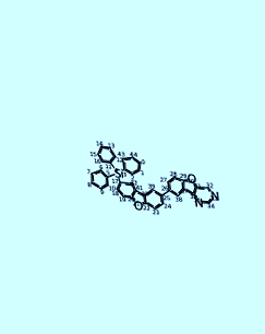 c1ccc([Si](c2ccccc2)(c2ccccc2)c2ccc3oc4ccc(-c5ccc6oc7cncnc7c6c5)cc4c3c2)cc1